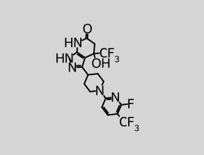 O=C1CC(O)(C(F)(F)F)c2c(C3CCN(c4ccc(C(F)(F)F)c(F)n4)CC3)n[nH]c2N1